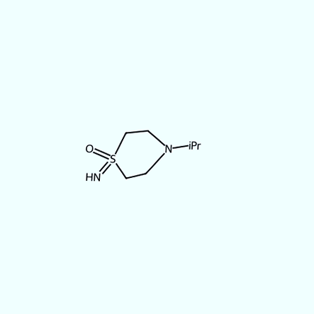 CC(C)N1CCS(=N)(=O)CC1